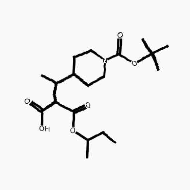 CCC(C)OC(=O)C(C(=O)O)C(C)C1CCN(C(=O)OC(C)(C)C)CC1